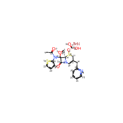 Br.COC1(N(C(C)=O)c2cccs2)C(=O)N2C=C(Cc3ccccn3)C[S+]([O-])[C@@H]21.O=CO